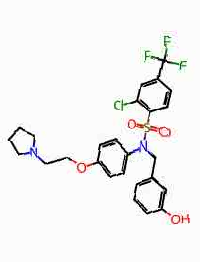 O=S(=O)(c1ccc(C(F)(F)F)cc1Cl)N(Cc1cccc(O)c1)c1ccc(OCCN2CCCC2)cc1